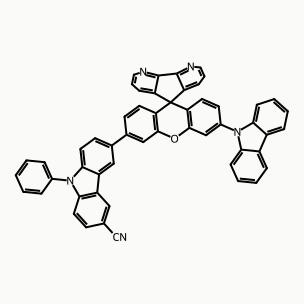 N#Cc1ccc2c(c1)c1cc(-c3ccc4c(c3)Oc3cc(-n5c6ccccc6c6ccccc65)ccc3C43c4cccnc4-c4ncccc43)ccc1n2-c1ccccc1